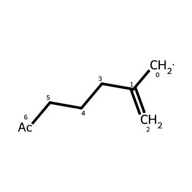 [CH2]C(=C)CCCC(C)=O